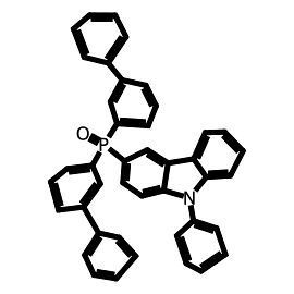 O=P(c1cccc(-c2ccccc2)c1)(c1cccc(-c2ccccc2)c1)c1ccc2c(c1)c1ccccc1n2-c1ccccc1